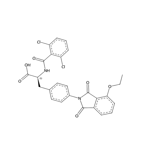 CCOc1cccc2c1C(=O)N(c1ccc(C[C@H](NC(=O)c3c(Cl)cccc3Cl)C(=O)O)cc1)C2=O